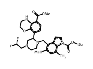 COC(=O)c1ccc([C@@H]2CN(CC(F)F)CCN2Cc2c(OC)cc(C)c3c2ccn3C(=O)OC(C)(C)C)c2c1NCCO2